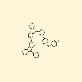 Fc1ccc2oc3ccc(-c4cccc(-n5c6ccccc6c6ccc(-c7ccc8c(c7)c7ccccc7n8-c7ccccc7)cc65)n4)cc3c2c1